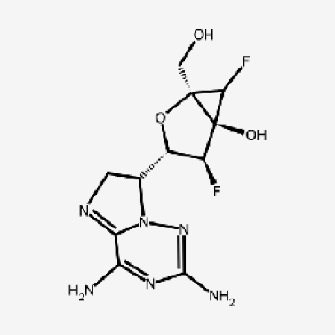 NC1=NN2C(=NCC2[C@@H]2O[C@@]3(CO)C(F)[C@]3(O)[C@H]2F)C(N)=N1